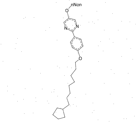 CCCCCCCCCOc1cnc(-c2ccc(OCCCCCCCCC3CCCC3)cc2)nc1